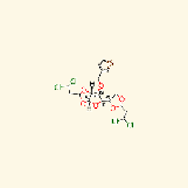 ClC(Cl)CC1O[C@H]2O[C@H]([C@H]3COC(CC(Cl)Cl)O3)[C@H](OCc3ccsc3)[C@H]2O1